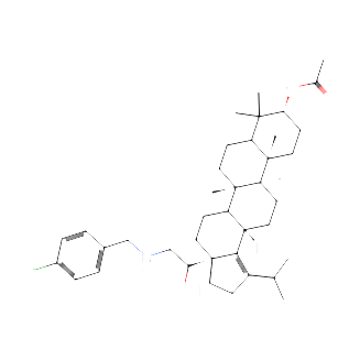 CC(=O)O[C@H]1CC[C@@]2(C)C(CC[C@]3(C)[C@@H]2CC[C@@H]2C4=C(C(C)C)CC[C@]4(C(O)CNCc4ccc(Cl)cc4)CC[C@]23C)C1(C)C